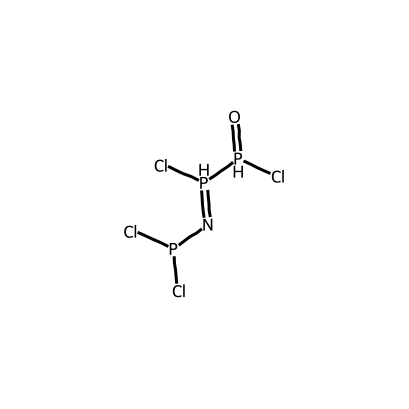 O=[PH](Cl)/[PH](Cl)=N/P(Cl)Cl